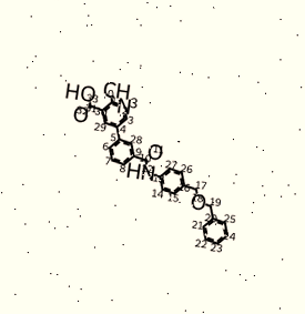 Cc1ncc(-c2cccc(C(=O)Nc3ccc(COCc4ccccc4)cc3)c2)cc1C(=O)O